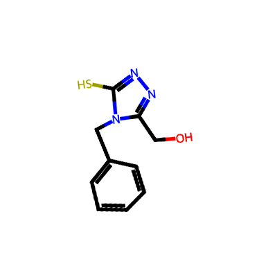 OCc1nnc(S)n1Cc1ccccc1